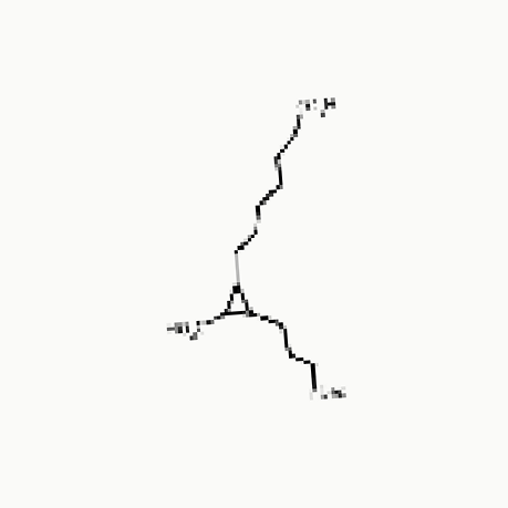 CCCCCCCCCCCCCC1C(CCCCCCC(=O)O)C1C(=O)O